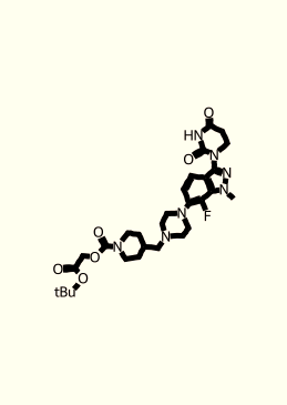 Cn1nc(N2CCC(=O)NC2=O)c2ccc(N3CCN(CC4CCN(C(=O)OCC(=O)OC(C)(C)C)CC4)CC3)c(F)c21